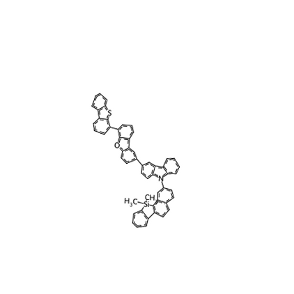 C[Si]1(C)c2ccccc2-c2ccc3ccc(-n4c5ccccc5c5cc(-c6ccc7oc8c(-c9cccc%10c9sc9ccccc9%10)cccc8c7c6)ccc54)cc3c21